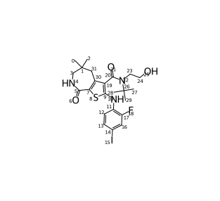 CC1(C)CNC(=O)c2sc(Nc3ccc(I)cc3F)c(C(=O)N(CCO)C(C)(C)C)c2C1